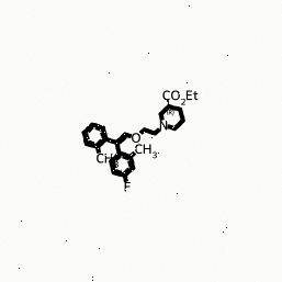 CCOC(=O)[C@@H]1CCCN(CCOC=C(c2ccccc2C)c2ccc(F)cc2C)C1